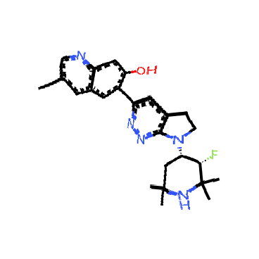 Cc1cnc2cc(O)c(-c3cc4c(nn3)N([C@H]3CC(C)(C)NC(C)(C)[C@H]3F)CC4)cc2c1